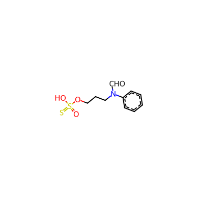 O=CN(CCCOS(=O)(O)=S)c1ccccc1